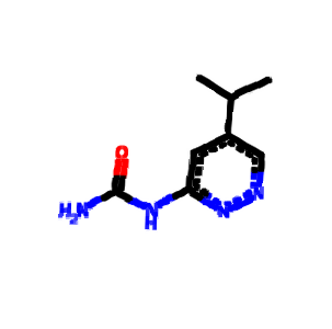 CC(C)c1cnnc(NC(N)=O)c1